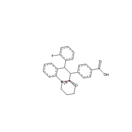 NC(=O)C(c1ccc(C(=O)O)cc1)C(c1ccccc1F)c1ccccc1N1CCCCC1